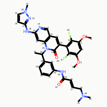 COc1cc(OC)c(F)c(-c2cc3cnc(Nc4ccn(C)n4)cc3n(C(C)c3cccc(NC(=O)/C=C/CN(C)C)c3)c2=O)c1F